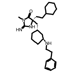 CN1C(=N)N[C@](CCC2CCCCC2)(C[C@H]2CCC[C@H](NCCc3ccccc3)C2)C1=O